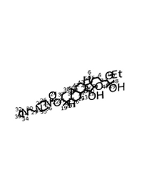 CCO[C@@H](C1C[C@@H](C)[C@H]2C(O1)[C@H](O)[C@@]1(C)C3CC[C@H]4C(C)(C)[C@@H](OC(=O)N5CCN(CCN6CCC6)CC5)CC[C@@]45CC35CC[C@]21C)C(C)(C)O